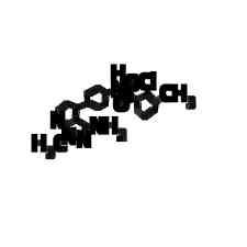 Cc1cccc(S(=O)(=O)Nc2ccc(-c3ccnc4c3c(N)nn4C)cc2)c1Cl